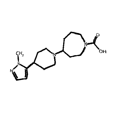 Cn1nccc1C1CCN(C2CCCN(C(=O)O)CC2)CC1